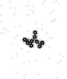 c1ccc(-c2ccc(N(c3ccc(-n4c5ccccc5c5ncccc54)cc3)c3ccc(-c4cccc5c4oc4ccccc45)c(-c4ccccc4)c3)cc2)cc1